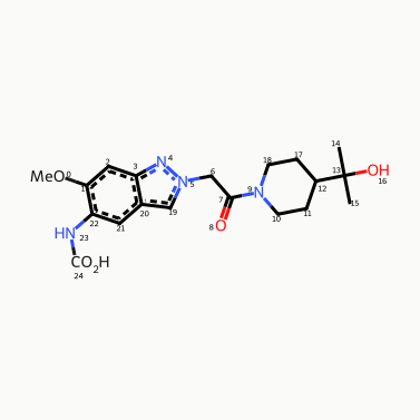 COc1cc2nn(CC(=O)N3CCC(C(C)(C)O)CC3)cc2cc1NC(=O)O